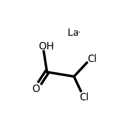 O=C(O)C(Cl)Cl.[La]